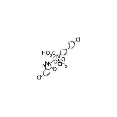 CS(=O)(=O)N(c1ccc(-c2ccc(Cl)cc2)cc1)C(CCn1nnc2cc(Cl)ccc2c1=O)C(=O)O